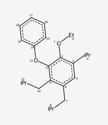 CCOc1c([C](C)C)cc(CC(C)C)c(CC(C)C)c1Oc1ccccc1